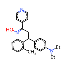 CCN(CC)c1ccc(C(CC(=NO)c2ccncc2)c2ccccc2C)cc1